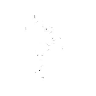 CCOC(=O)[C@H](Cc1ccc(-n2c(=O)c(C)cn(C)c2=O)nc1)NC(=O)c1cc(F)c(NS(=O)(=O)c2ccc(NC(=O)C3(C#N)CC3)cc2)cc1F